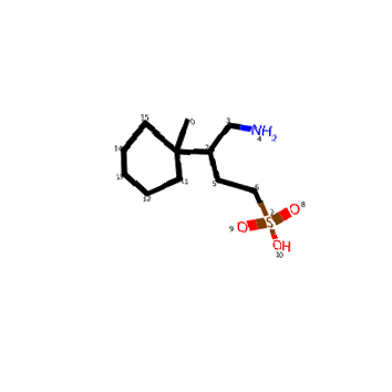 CC1(C(CN)CCS(=O)(=O)O)CCCCC1